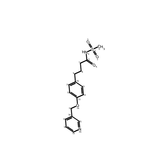 CS(=O)(=O)NC(=O)CCCc1ccc(OCc2cccnc2)cc1